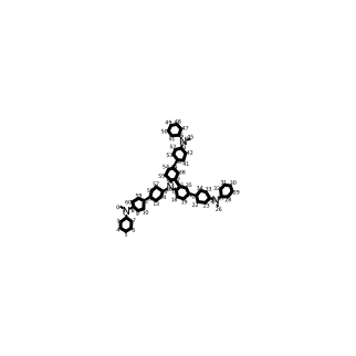 CN(c1ccccc1)c1ccc(-c2ccc(-n3c4ccc(-c5ccc(N(C)c6ccccc6)cc5)cc4c4cc(-c5ccc(N(C)c6ccccc6)cc5)ccc43)cc2)cc1